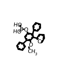 CCOc1c(-c2ccccc2)cc(OB(O)O)c(-c2ccccc2)c1-c1ccccc1